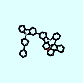 c1ccc(-c2ccc(-n3c4ccccc4c4ccc(-c5ccc6c(c5)c5ccccc5n6-c5ccccc5-c5cc6ccccc6c6ccccc56)cc43)cc2)cc1